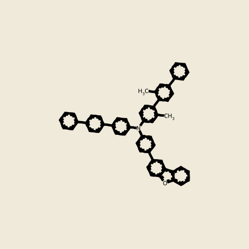 Cc1cc(-c2ccccc2)ccc1-c1ccc(N(c2ccc(-c3ccc(-c4ccccc4)cc3)cc2)c2ccc(-c3ccc4oc5ccccc5c4c3)cc2)cc1C